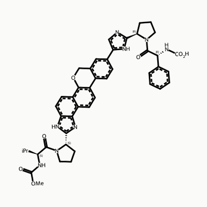 COC(=O)N[C@H](C(=O)N1CCC[C@H]1c1nc2c(ccc3c4c(ccc32)-c2ccc(-c3cnc([C@H]5CCCN5C(=O)[C@H](NC(=O)O)c5ccccc5)[nH]3)cc2CO4)[nH]1)C(C)C